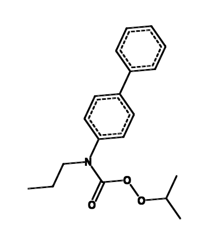 CCCN(C(=O)OOC(C)C)c1ccc(-c2ccccc2)cc1